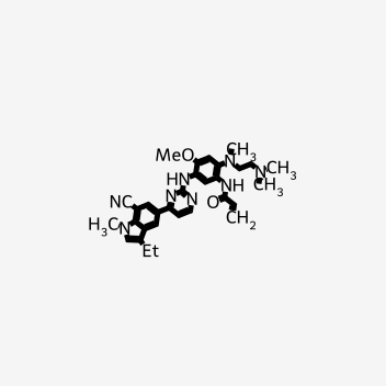 C=CC(=O)Nc1cc(Nc2nccc(-c3cc(C#N)c4c(c3)c(CC)cn4C)n2)c(OC)cc1N(C)CCN(C)C